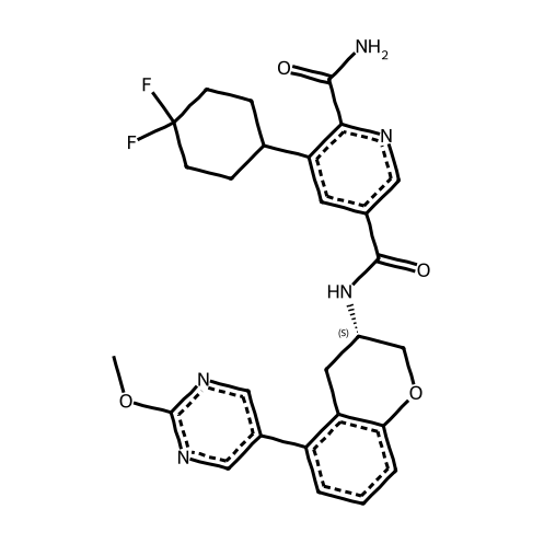 COc1ncc(-c2cccc3c2C[C@H](NC(=O)c2cnc(C(N)=O)c(C4CCC(F)(F)CC4)c2)CO3)cn1